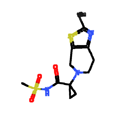 CC(C)(C)c1nc2c(s1)CN(C1(C(=O)NS(C)(=O)=O)CC1)CC2